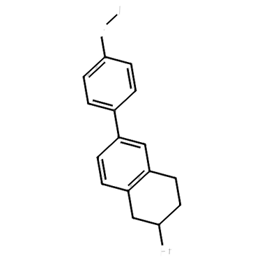 CCOc1ccc(-c2ccc3c(c2)CCC(CC)C3)cc1